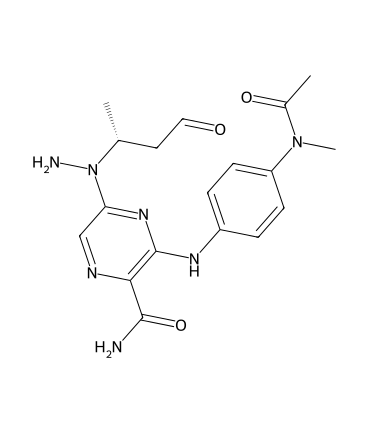 CC(=O)N(C)c1ccc(Nc2nc(N(N)[C@H](C)CC=O)cnc2C(N)=O)cc1